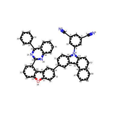 N#Cc1cc(C#N)cc(-n2c3ccc(-c4ccc5oc6cccc(-c7nc(-c8ccccc8)c8ccccc8n7)c6c5c4)cc3c3c4ccccc4ccc32)c1